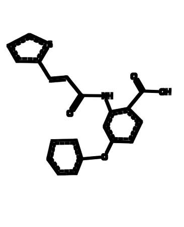 O=C(C=Cc1cccs1)Nc1cc(Oc2ccccc2)ccc1C(=O)O